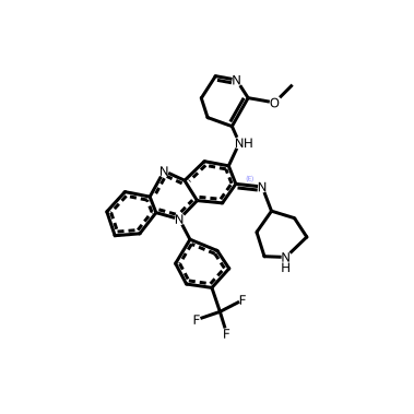 COC1=C(Nc2cc3nc4ccccc4n(-c4ccc(C(F)(F)F)cc4)c-3c/c2=N\C2CCNCC2)CCC=N1